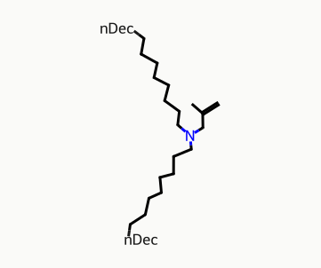 C=C(C)CN(CCCCCCCCCCCCCCCCCC)CCCCCCCCCCCCCCCCCC